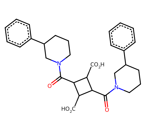 O=C(O)C1C(C(=O)N2CCCC(c3ccccc3)C2)C(C(=O)O)C1C(=O)N1CCCC(c2ccccc2)C1